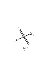 O=[Se](=O)([O-])[O-].[Ni+2]